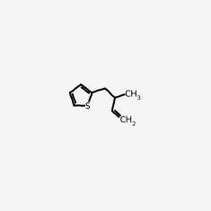 C=CC(C)Cc1cccs1